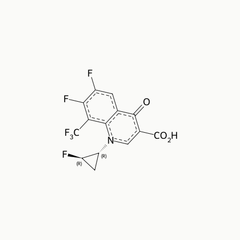 O=C(O)c1cn([C@@H]2C[C@H]2F)c2c(C(F)(F)F)c(F)c(F)cc2c1=O